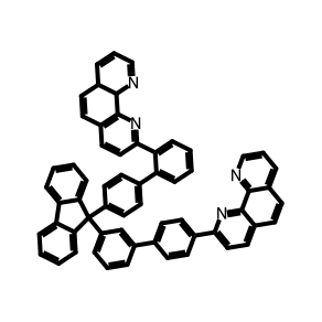 C1=CC2C=Cc3ccc(-c4ccccc4-c4ccc(C5(c6cccc(-c7ccc(-c8ccc9ccc%10cccnc%10c9n8)cc7)c6)c6ccccc6-c6ccccc65)cc4)nc3C2N=C1